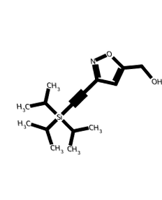 CC(C)[Si](C#Cc1cc(CO)on1)(C(C)C)C(C)C